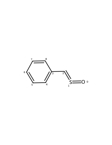 O=S=Cc1ccccc1